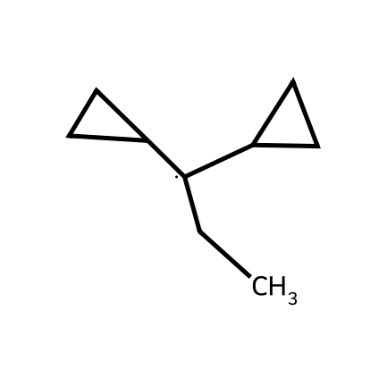 CC[C](C1CC1)C1CC1